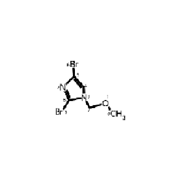 COCn1cc(Br)nc1Br